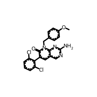 COc1ccc(Cn2c(=O)c(-c3c(Cl)cccc3Cl)cc3cnc(N)nc32)cc1